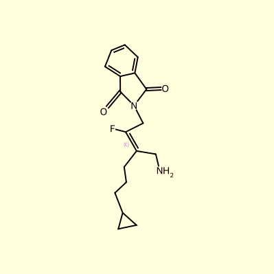 NC/C(CCCC1CC1)=C(/F)CN1C(=O)c2ccccc2C1=O